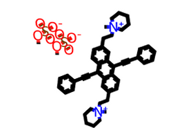 COS(=O)(=O)[O-].COS(=O)(=O)[O-].C[N+]1(CCc2ccc3c(C#Cc4ccccc4)c4cc(CC[N+]5(C)CCCCC5)ccc4c(C#Cc4ccccc4)c3c2)CCCCC1